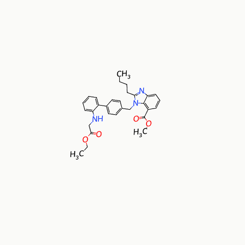 CCCCc1nc2cccc(C(=O)OC)c2n1Cc1ccc(-c2ccccc2NCC(=O)OCC)cc1